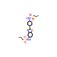 CCCS(=O)(=O)Nc1ccc(-c2nc3cc(NS(=O)(=O)CCC)ccc3o2)cc1